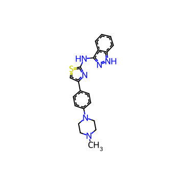 CN1CCN(c2ccc(-c3csc(Nc4n[nH]c5ccccc45)n3)cc2)CC1